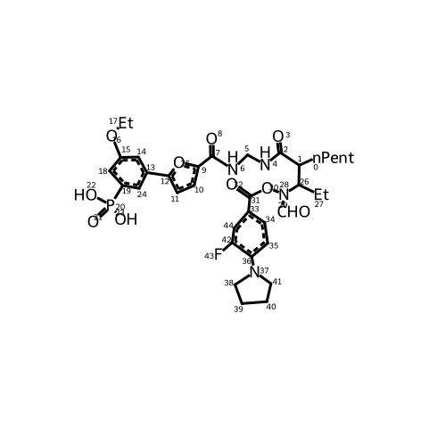 CCCCCC(C(=O)NCNC(=O)c1ccc(-c2cc(OCC)cc(P(=O)(O)O)c2)o1)C(CC)N(C=O)OC(=O)c1ccc(N2CCCC2)c(F)c1